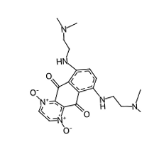 CN(C)CCNc1ccc(NCCN(C)C)c2c1C(=O)c1c([n+]([O-])cc[n+]1[O-])C2=O